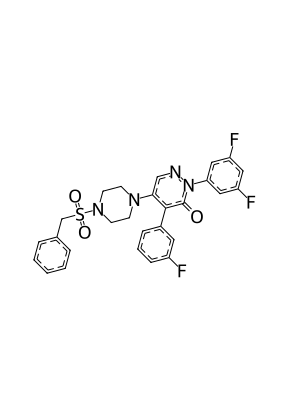 O=c1c(-c2cccc(F)c2)c(N2CCN(S(=O)(=O)Cc3ccccc3)CC2)cnn1-c1cc(F)cc(F)c1